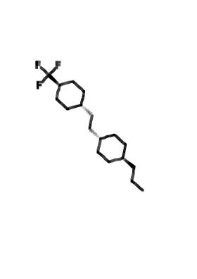 CCC[C@H]1CC[C@H](CC[C@H]2CC[C@H](C(F)(F)F)CC2)CC1